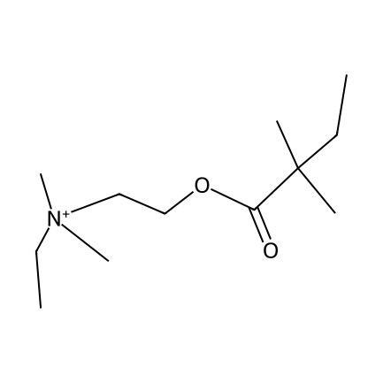 CCC(C)(C)C(=O)OCC[N+](C)(C)CC